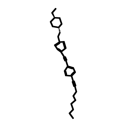 CCCCCCCC#Cc1ccc(C#Cc2ccc(CC[C@H]3CC[C@H](CC)CC3)cc2)cc1